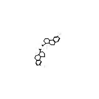 C[C@@]12CCC[C@](C)(C(=O)NC(=O)[C@@]3(C)CCC[C@]4(C)c5cc(N)ccc5CC[C@@H]34)[C@H]1CCc1ccc(O)cc12